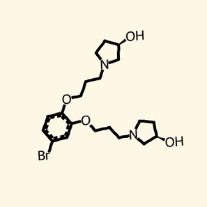 O[C@@H]1CCN(CCCOc2ccc(Br)cc2OCCCN2CC[C@@H](O)C2)C1